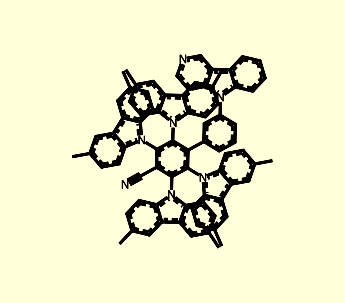 Cc1ccc2c(c1)c1cc(C)ccc1n2-c1c(C#N)c(-n2c3ccc(C)cc3c3cc(C)ccc32)c(-n2c3ccc(C)cc3c3cc(C)ccc32)c(-c2cccc(-n3c4ccccc4c4cnccc43)c2)c1-n1c2ccc(C)cc2c2cc(C)ccc21